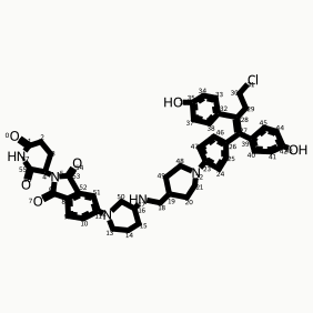 O=C1CCC(N2C(=O)c3ccc(N4CCCC(NCC5CCN(c6ccc(C(=C(CCCl)c7ccc(O)cc7)c7ccc(O)cc7)cc6)CC5)C4)cc3C2=O)C(=O)N1